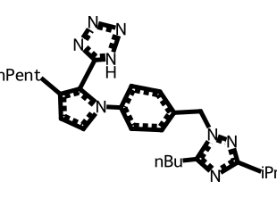 CCCCCc1ccn(-c2ccc(Cn3nc(C(C)C)nc3CCCC)cc2)c1-c1nnn[nH]1